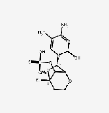 CC[C@]12CCOC(C1OP(O)(=S)OC)[C@H](N1C=C(C)C(N)=NC1O)O2